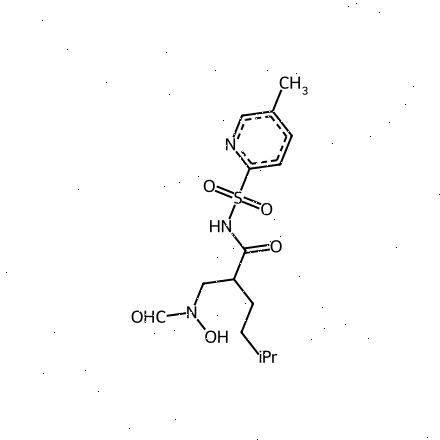 Cc1ccc(S(=O)(=O)NC(=O)C(CCC(C)C)CN(O)C=O)nc1